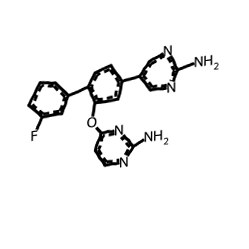 Nc1ncc(-c2ccc(-c3cccc(F)c3)c(Oc3ccnc(N)n3)c2)cn1